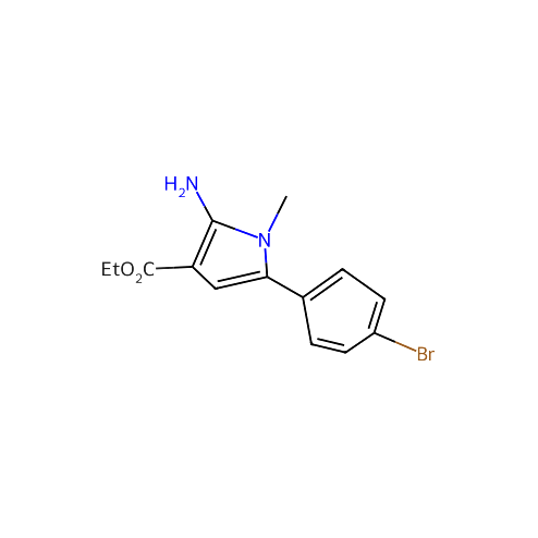 CCOC(=O)c1cc(-c2ccc(Br)cc2)n(C)c1N